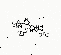 CCNC(=O)Nc1nc2cc(-c3cncc(-c4n[nH]c(=O)o4)c3)c(OCC3CCOC3)nc2s1